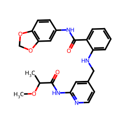 COC(C)C(=O)Nc1cc(CNc2ccccc2C(=O)Nc2ccc3c(c2)OCO3)ccn1